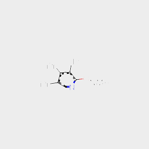 CNOc1ncc(C(C)C)c(C(C)C)c1C(C)C